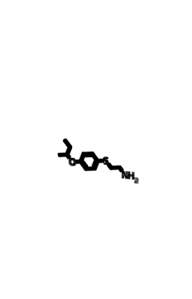 CCC(C)Oc1ccc(SCCN)cc1